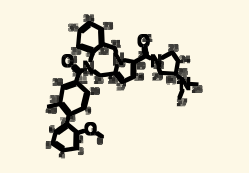 COc1ccccc1-c1ccc(C(=O)N2Cc3ccc(C(=O)N4CC[C@@H](N(C)C)C4)n3Cc3ccccc32)cc1C